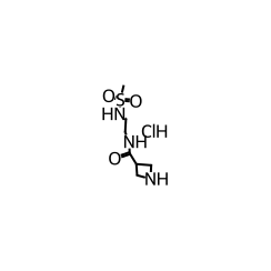 CS(=O)(=O)NCCNC(=O)C1CNC1.Cl